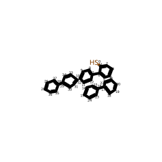 Sc1ccccc1-c1ccccc1.c1ccc(-c2ccccc2)cc1.c1ccc(-c2ccccc2)cc1